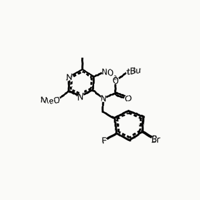 COc1nc(C)c([N+](=O)[O-])c(N(Cc2ccc(Br)cc2F)C(=O)OC(C)(C)C)n1